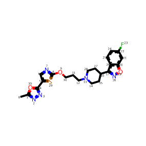 Cc1nnc(-c2cnc(OCCCN3CCC(c4noc5cc(F)ccc45)CC3)s2)o1